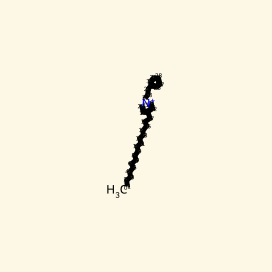 CCCCCCCCCCCCCCCCCCc1cc[n+](CCCc2ccccc2)cc1